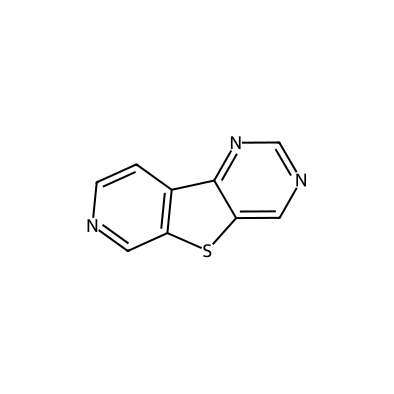 c1cc2c(cn1)sc1cncnc12